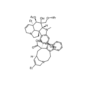 CCCOCC1(O)[C@H](OC(C)=O)[C@]2(CC)C=CCN3CC[C@@]4(c5cc([C@@]6(C(=O)OC)C[C@@H]7C=C(CC)CN(CCc8c6[nH]c6ccccc86)C7)c(OC)cc5N(C)[C@@H]14)C32